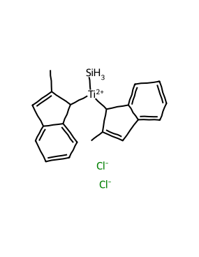 CC1=Cc2ccccc2[CH]1[Ti+2]([SiH3])[CH]1C(C)=Cc2ccccc21.[Cl-].[Cl-]